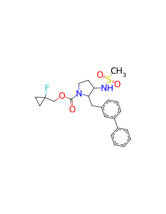 CS(=O)(=O)NC1CCN(C(=O)OCC2(F)CC2)C1Cc1cccc(-c2ccccc2)c1